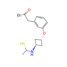 CCC(=O)Cc1cccc(O[C@H]2C[C@H](NC(C)S)C2)c1